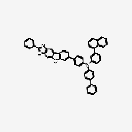 c1ccc(-c2ccc(N(c3ccc(-c4ccc5c(c4)oc4cc6oc(-c7ccccc7)nc6cc45)cc3)c3cccc(-c4cccc5ccccc45)c3)cc2)cc1